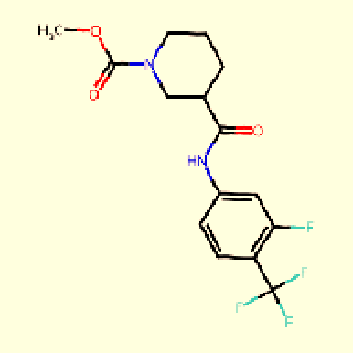 COC(=O)N1CCCC(C(=O)Nc2ccc(C(F)(F)F)c(F)c2)C1